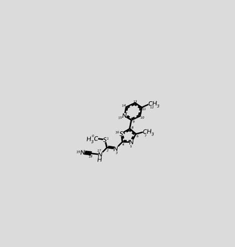 CSC(=Nc1nc(C)c(-c2cc(C)ccn2)s1)NC#N